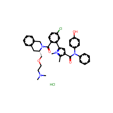 Cc1c(C(=O)N(c2ccccc2)c2ccc(O)cc2)cc(-c2cc(Cl)ccc2C(=O)N2Cc3ccccc3C[C@H]2COCCN(C)C)n1C.Cl